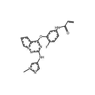 C=CC(=O)Nc1ccc(F)c(Oc2nc(Nc3cnn(C)c3)nn3cccc23)c1